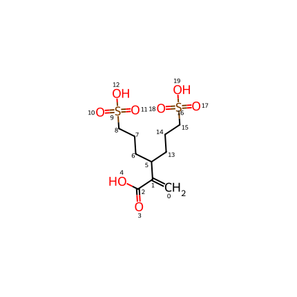 C=C(C(=O)O)C(CCCS(=O)(=O)O)CCCS(=O)(=O)O